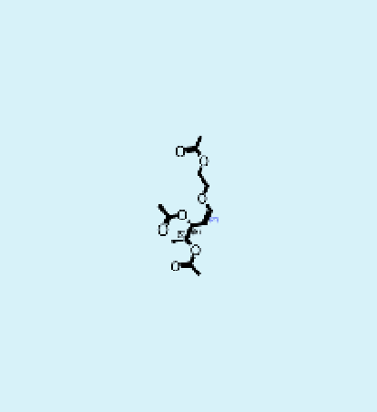 CC(=O)OCCO/C=C\[C@@H](OC(C)=O)[C@H](C)OC(C)=O